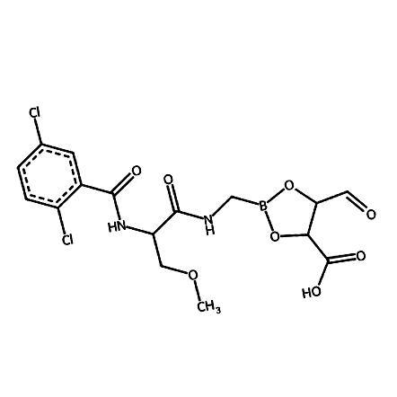 COCC(NC(=O)c1cc(Cl)ccc1Cl)C(=O)NCB1OC(C=O)C(C(=O)O)O1